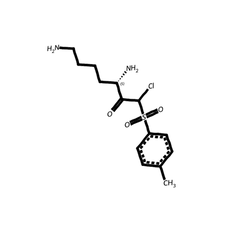 Cc1ccc(S(=O)(=O)C(Cl)C(=O)[C@@H](N)CCCCN)cc1